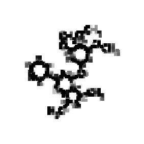 COc1cc(Oc2nc(-c3cccnc3)nn3c(C)nc(C)c23)cc(OC)c1OC